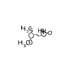 COc1ccc(SC)c(/C=C/c2ccc(=O)[nH]n2)c1